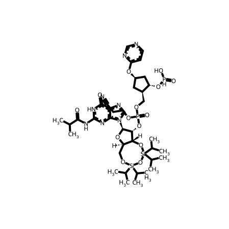 CC(C)C(=O)Nc1nc2c(ncn2[C@@H]2O[C@@H]3CO[Si](C(C)C)(C(C)C)O[Si](C(C)C)(C(C)C)O[C@H]3[C@H]2OP(=O)(OCCC#N)OC[C@H]2C[C@@H](Oc3ccncn3)C[C@@H]2O[PH](=O)O)c(=O)[nH]1